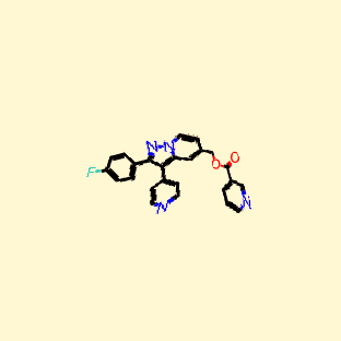 O=C(OCc1ccn2nc(-c3ccc(F)cc3)c(-c3ccncc3)c2c1)c1cccnc1